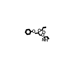 C=CC(=N)OCC(COc1ccccc1)OC(=O)C=C